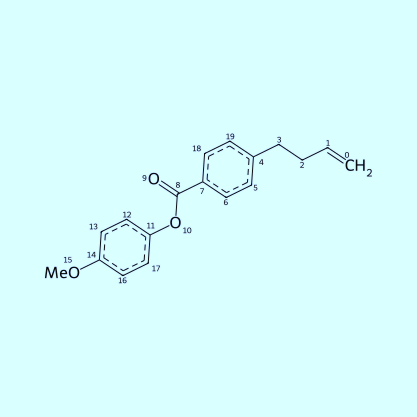 C=CCCc1ccc(C(=O)Oc2ccc(OC)cc2)cc1